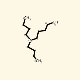 CCCCN(CCCC)CCCCO